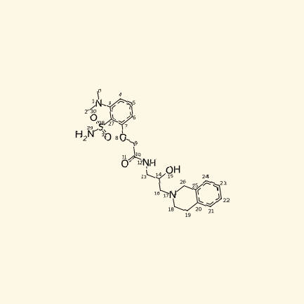 CN(C)c1cccc(OCC(=O)NCC(O)CN2CCc3ccccc3C2)c1S(N)(=O)=O